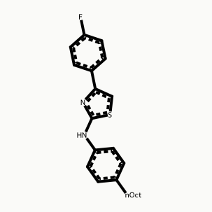 CCCCCCCCc1ccc(Nc2nc(-c3ccc(F)cc3)cs2)cc1